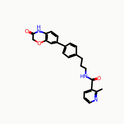 Cc1ncccc1C(=O)NCCCc1ccc(-c2ccc3c(c2)OCC(=O)N3)cc1